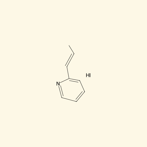 CC=Cc1ccccn1.I